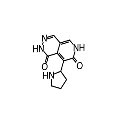 O=c1[nH]cc2cn[nH]c(=O)c2c1C1CCCN1